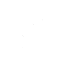 C/C=C(\N=C/N)C1=CCNC=N1